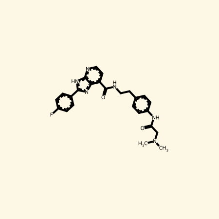 CN(C)CC(=O)Nc1ccc(CCNC(=O)c2ccnc3[nH]c(-c4ccc(F)cc4)nc23)cc1